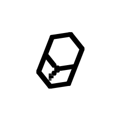 FB1C2CCCC1CCC2